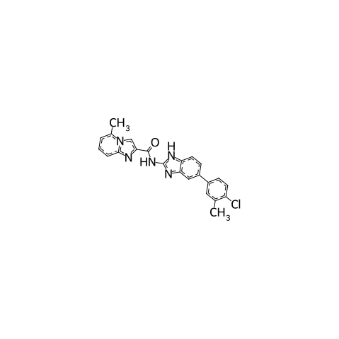 Cc1cc(-c2ccc3[nH]c(NC(=O)c4cn5c(C)cccc5n4)nc3c2)ccc1Cl